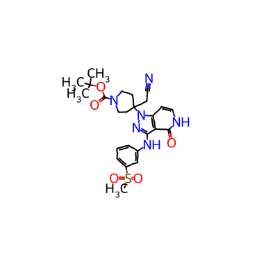 CC(C)(C)OC(=O)N1CCC(CC#N)(n2nc(Nc3cccc(S(C)(=O)=O)c3)c3c(=O)[nH]ccc32)CC1